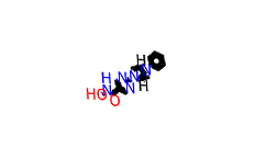 O=C(NO)c1cnc(N2C[C@@H]3C[C@H]2CN3c2ccccc2)nc1